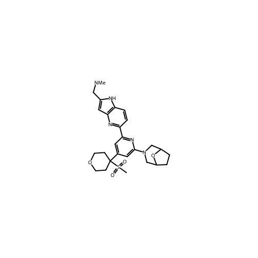 CNCc1cc2nc(-c3cc(C4(S(C)(=O)=O)CCOCC4)cc(N4CC5CCC(C4)O5)n3)ccc2[nH]1